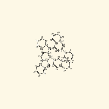 c1ccc(-c2nc(-n3c4ccccc4c4cc5c6ccccc6n6c7cc8ccccc8cc7c(c43)c56)c3ccccc3n2)cc1